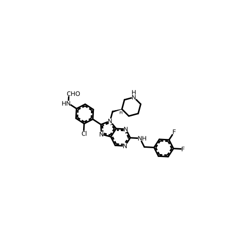 O=CNc1ccc(-c2nc3cnc(NCc4ccc(F)c(F)c4)nc3n2C[C@@H]2CCCNC2)c(Cl)c1